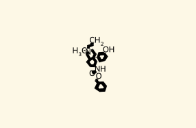 C=CC[N@@+]1(C)CC[C@@]2(c3cccc(O)c3)C[C@H](NC(=O)OCc3ccccc3)CCC2C1